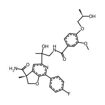 COc1cc(C(=O)NCC(C)(O)c2cc3c(c(-c4ccc(F)cc4)n2)OC[C@]3(C)C(N)=O)ccc1OC[C@@H](C)O